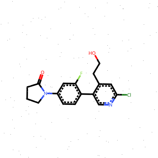 O=C1CCCN1c1ccc(-c2cnc(Cl)cc2CCO)c(F)c1